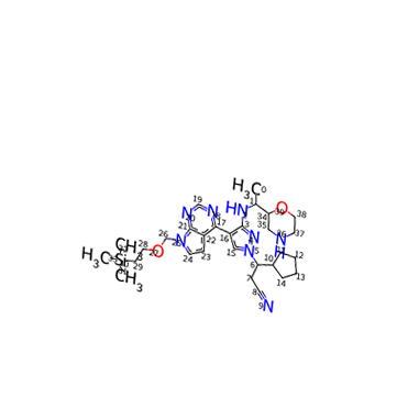 CC(Nc1nn(C(CC#N)C2CCCC2)cc1-c1ncnc2c1ccn2COCC[Si](C)(C)C)C1CNCCO1